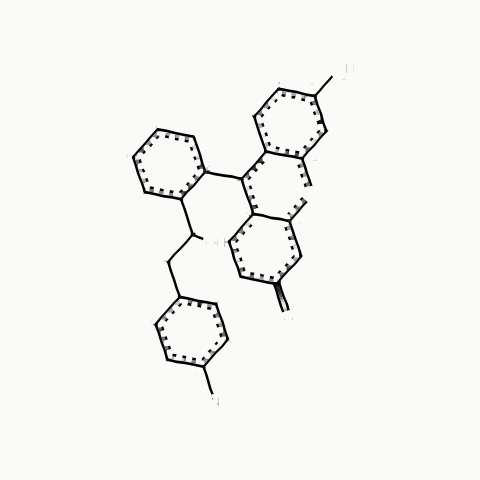 O=c1ccc2c(-c3ccccc3C(O)Cc3ccc([N+](=O)[O-])cc3)c3ccc(O)cc3oc-2c1